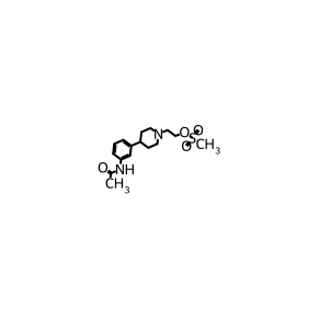 CC(=O)Nc1cccc(C2CCN(CCOS(C)(=O)=O)CC2)c1